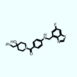 CC(C)CC1(O)CCN(C(=O)c2ccc(NCc3cc(F)cc4scnc34)cc2)CC1